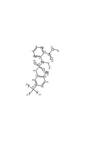 CCN(c1nccnc1C(=O)OC)S(=O)(=O)Cc1cc(C(F)(F)F)ccc1Br